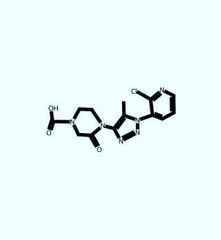 Cc1c(N2CCN(C(=O)O)CC2=O)nnn1-c1cccnc1Cl